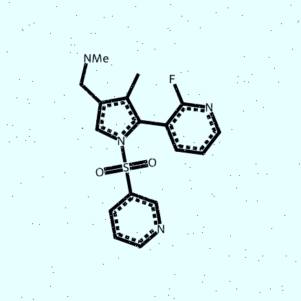 CNCc1cn(S(=O)(=O)c2cccnc2)c(-c2cccnc2F)c1C